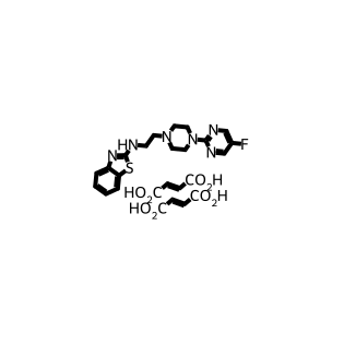 Fc1cnc(N2CCN(CCNc3nc4ccccc4s3)CC2)nc1.O=C(O)C=CC(=O)O.O=C(O)C=CC(=O)O